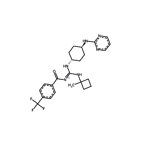 CC1(N/C(=N/C(=O)c2ccc(C(F)(F)F)cc2)N[C@H]2CC[C@H](Nc3ncccn3)CC2)CCC1